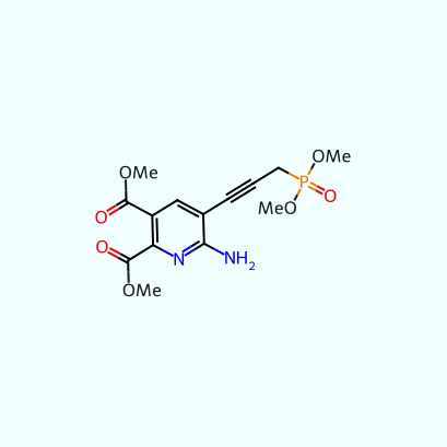 COC(=O)c1cc(C#CCP(=O)(OC)OC)c(N)nc1C(=O)OC